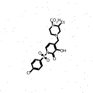 CCC1CN(Cc2ccn(S(=O)(=O)c3ccc(Cl)cc3)c(=O)c2O)CCN1C(=O)O